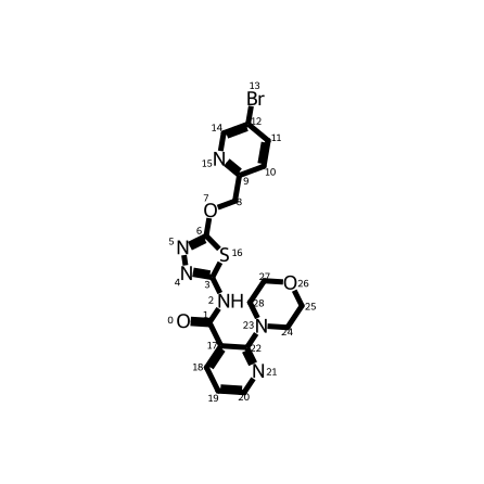 O=C(Nc1nnc(OCc2ccc(Br)cn2)s1)c1cccnc1N1CCOCC1